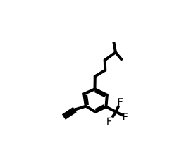 C#Cc1cc(CCCC(C)C)cc(C(F)(F)F)c1